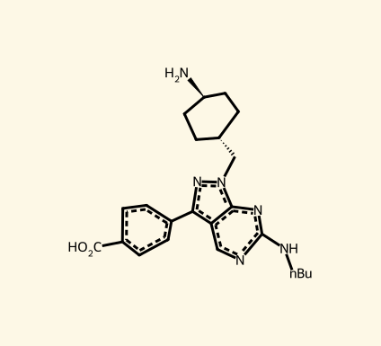 CCCCNc1ncc2c(-c3ccc(C(=O)O)cc3)nn(C[C@H]3CC[C@H](N)CC3)c2n1